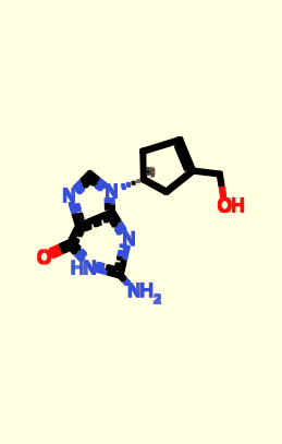 Nc1nc2c(ncn2[C@@H]2CC=C(CO)C2)c(=O)[nH]1